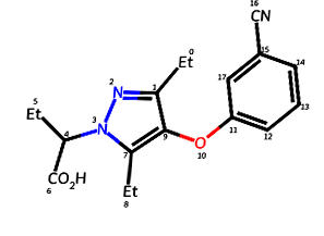 CCc1nn(C(CC)C(=O)O)c(CC)c1Oc1cccc(C#N)c1